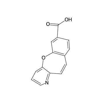 O=C(O)c1ccc2c(c1)Oc1cccnc1C=C2